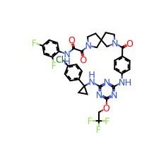 O=C(Nc1ccc(F)cc1F)C(=O)N1CCC2(CCN(C(=O)c3ccc(Nc4nc(NC5(c6ccc(Cl)cc6)CC5)nc(OCC(F)(F)F)n4)cc3)C2)C1